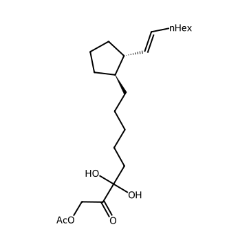 CCCCCCC=C[C@H]1CCC[C@@H]1CCCCCC(O)(O)C(=O)COC(C)=O